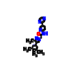 CC/C=C(\C=C(C)C)c1cn(CC(=O)Nc2ccc(-c3cnccn3)cn2)nc1C